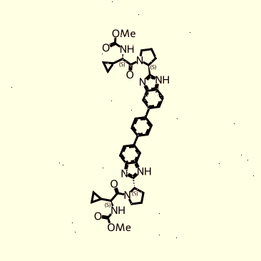 COC(=O)N[C@H](C(=O)N1CCC[C@H]1c1nc2cc(-c3ccc(-c4ccc5nc([C@@H]6CCCN6C(=O)[C@@H](NC(=O)OC)C6CC6)[nH]c5c4)cc3)ccc2[nH]1)C1CC1